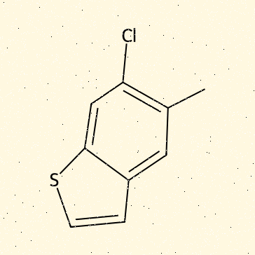 Cc1cc2ccsc2cc1Cl